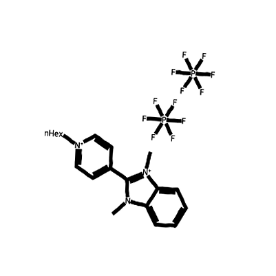 CCCCCC[n+]1ccc(-c2n(C)c3ccccc3[n+]2C)cc1.F[P-](F)(F)(F)(F)F.F[P-](F)(F)(F)(F)F